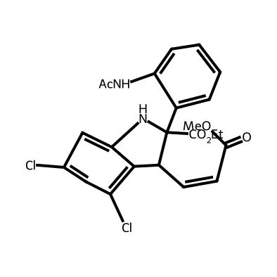 CCOC(=O)C1(c2ccccc2NC(C)=O)Nc2cc(Cl)cc(Cl)c2C1/C=C\C(=O)OC